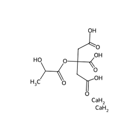 CC(O)C(=O)OC(CC(=O)O)(CC(=O)O)C(=O)O.[CaH2].[CaH2]